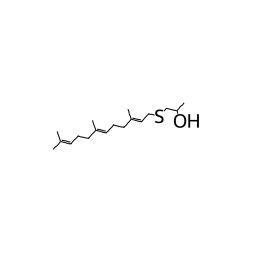 CC(C)=CCC/C(C)=C/CC/C(C)=C/CSCC(C)O